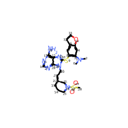 CN(C)c1cc2c(cc1Sc1nc3c(N)ncnc3n1CCC1CCCN(S(C)(=O)=O)C1)CCO2